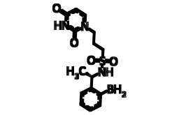 Bc1ccccc1[C@@H](C)NS(=O)(=O)CCCn1ccc(=O)[nH]c1=O